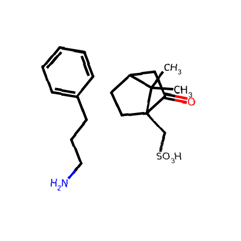 CC1(C)C2CCC1(CS(=O)(=O)O)C(=O)C2.NCCCc1ccccc1